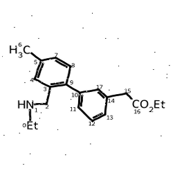 CCNCc1cc(C)ccc1-c1cccc(CC(=O)OCC)c1